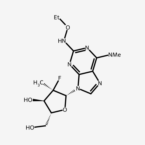 CCONc1nc(NC)c2ncn([C@@H]3O[C@H](CO)[C@@H](O)[C@@]3(C)F)c2n1